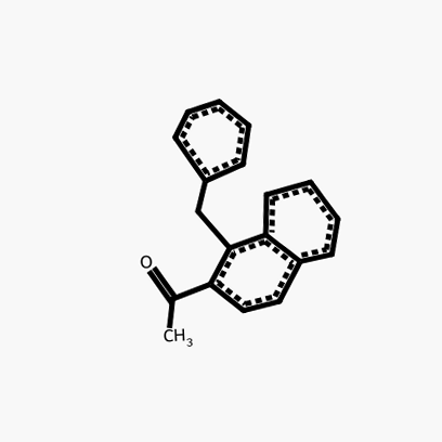 CC(=O)c1ccc2ccccc2c1Cc1ccccc1